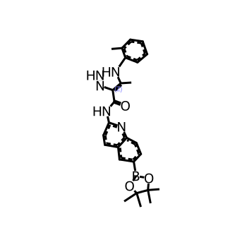 C/C(Nc1ccccc1C)=C(/N=N)C(=O)Nc1ccc2cc(B3OC(C)(C)C(C)(C)O3)ccc2n1